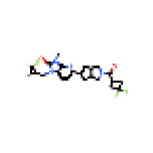 Cn1c(=O)n(CC2CC2(F)F)c2ccc(C3=CC4CN(C(=O)C5CC(F)(F)C5)CC4C3)nc21